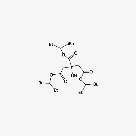 CCC(C)C(CC)OC(=O)CC(O)(CC(=O)OC(CC)C(C)CC)C(=O)OC(CC)C(C)CC